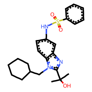 CC(C)(O)c1nc2cc(NS(=O)(=O)c3ccccc3)ccc2n1CC1CCCCC1